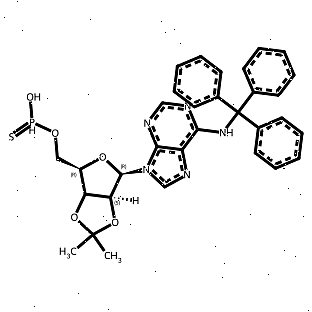 CC1(C)OC2[C@@H](CO[PH](O)=S)O[C@@H](n3cnc4c(NC(c5ccccc5)(c5ccccc5)c5ccccc5)ncnc43)[C@H]2O1